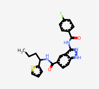 CCCC(NC(=O)c1ccc2[nH]nc(NC(=O)c3ccc(F)cc3)c2c1)c1cccs1